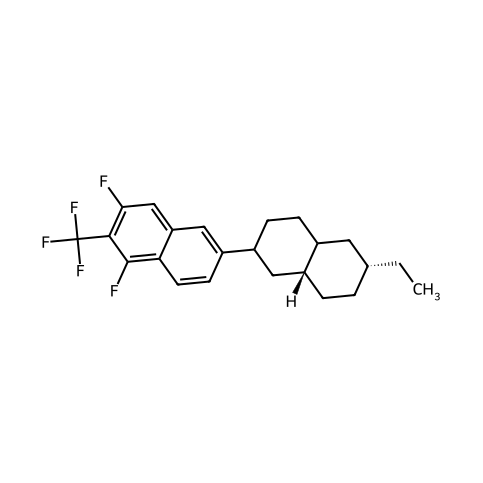 CC[C@@H]1CC[C@@H]2CC(c3ccc4c(F)c(C(F)(F)F)c(F)cc4c3)CCC2C1